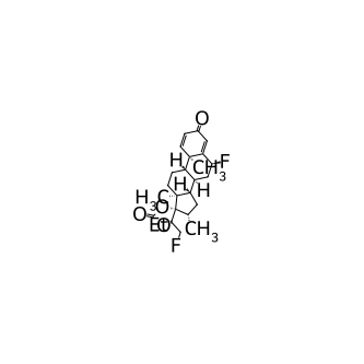 CCC(=O)O[C@@]1(C(=O)CF)[C@@H](C)C[C@H]2[C@@H]3C[C@H](F)C4=CC(=O)C=C[C@]4(C)[C@H]3CC[C@@]21C